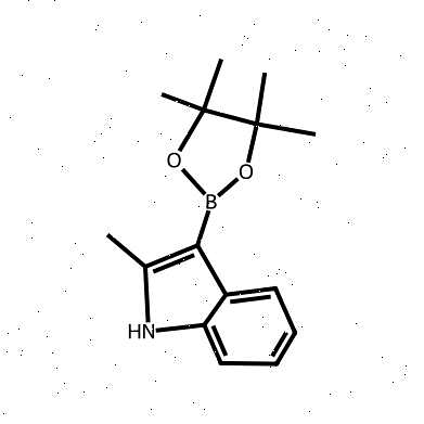 Cc1[nH]c2ccccc2c1B1OC(C)(C)C(C)(C)O1